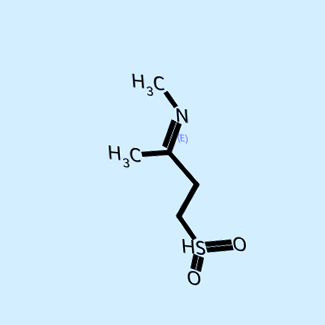 C/N=C(\C)CC[SH](=O)=O